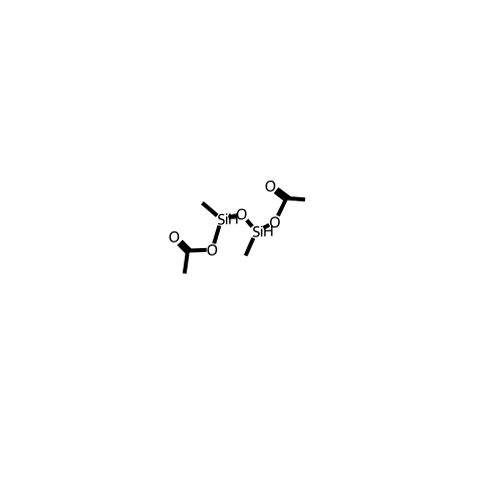 CC(=O)O[SiH](C)O[SiH](C)OC(C)=O